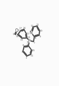 C=O.c1ccc(P(Cc2ccccn2)c2ccccc2)cc1